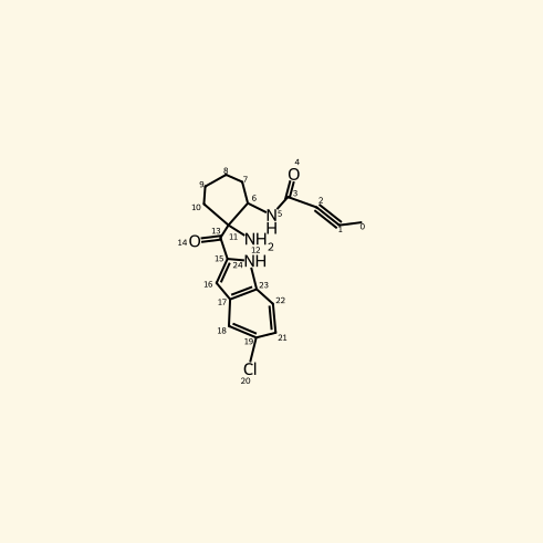 CC#CC(=O)NC1CCCCC1(N)C(=O)c1cc2cc(Cl)ccc2[nH]1